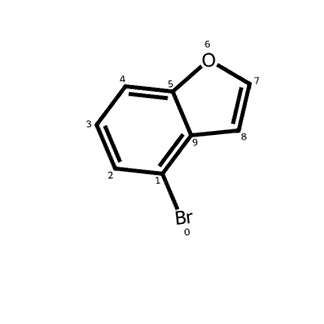 Brc1cccc2o[c]cc12